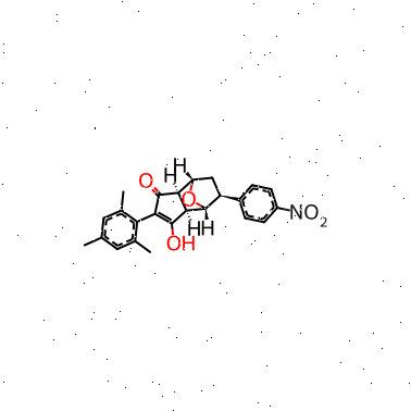 Cc1cc(C)c(C2=C(O)[C@@H]3[C@@H]4O[C@@H](C[C@H]4c4ccc([N+](=O)[O-])cc4)[C@@H]3C2=O)c(C)c1